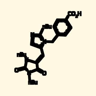 CCCCc1ncc(C=C2C(=O)N(CCCC)C(=O)N2CCCC)n1Cc1ccc(C(=O)O)cc1